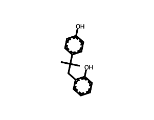 CC(C)(Cc1ccccc1O)c1ccc(O)cc1